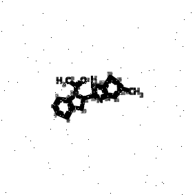 CC(=O)N1c2ccccc2CC1c1nc2cc(C)ccc2[nH]1